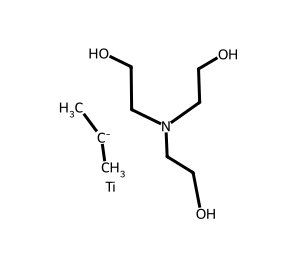 C[CH-]C.OCCN(CCO)CCO.[Ti]